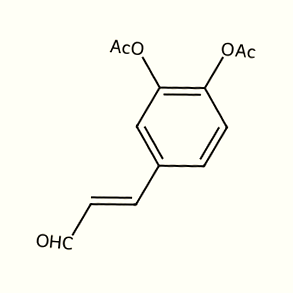 CC(=O)Oc1ccc(C=CC=O)cc1OC(C)=O